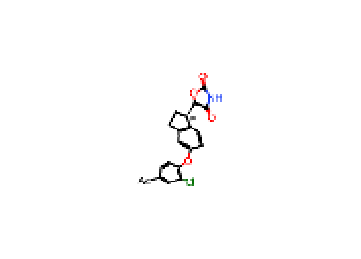 CC(=O)c1ccc(Oc2ccc3c(c2)CC[C@H]3C2OC(=O)NC2=O)c(Cl)c1